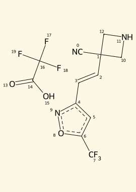 N#CC1(C=Cc2cc(C(F)(F)F)on2)CNC1.O=C(O)C(F)(F)F